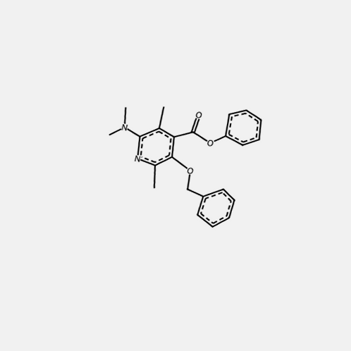 Cc1nc(N(C)C)c(C)c(C(=O)Oc2ccccc2)c1OCc1ccccc1